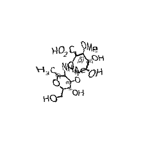 CO[C@@H]1C(C(=O)O)O[C@@H](O[C@@H]2C(NC(C)=O)[C@H](C)OC(CO)[C@H]2O)C(O)[C@H]1O